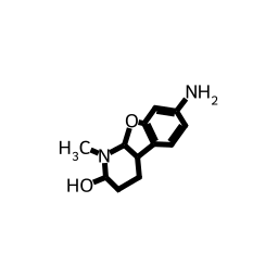 CN1C(O)CCC2c3ccc(N)cc3OC21